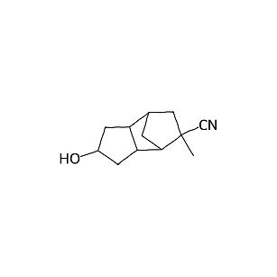 CC1(C#N)CC2CC1C1CC(O)CC21